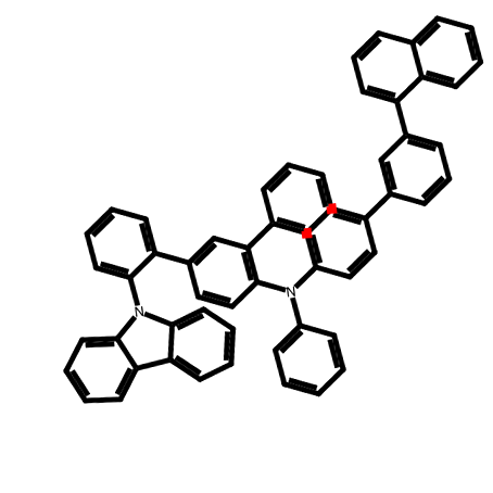 c1ccc(-c2cc(-c3ccccc3-n3c4ccccc4c4ccccc43)ccc2N(c2ccccc2)c2ccc(-c3cccc(-c4cccc5ccccc45)c3)cc2)cc1